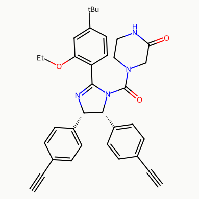 C#Cc1ccc([C@@H]2[C@H](c3ccc(C#C)cc3)N=C(c3ccc(C(C)(C)C)cc3OCC)N2C(=O)N2CCNC(=O)C2)cc1